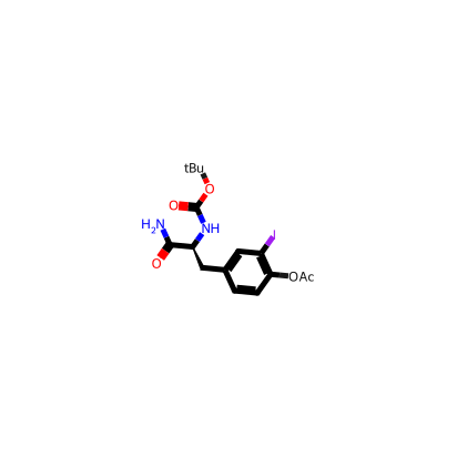 CC(=O)Oc1ccc(C[C@H](NC(=O)OC(C)(C)C)C(N)=O)cc1I